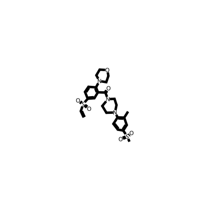 C=CS(=O)(=O)c1ccc(N2CCOCC2)c(C(=O)N2CCN(c3ccc(S(C)(=O)=O)cc3C)CC2)c1